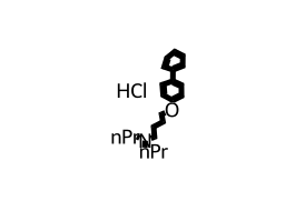 CCCN(CCC)CCCCOc1ccc(-c2ccccc2)cc1.Cl